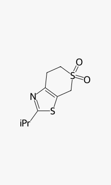 CC(C)c1nc2c(s1)CS(=O)(=O)CC2